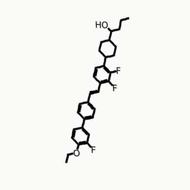 CCCC(O)C1CCC(c2ccc(/C=C/c3ccc(-c4ccc(OCC)c(F)c4)cc3)c(F)c2F)CC1